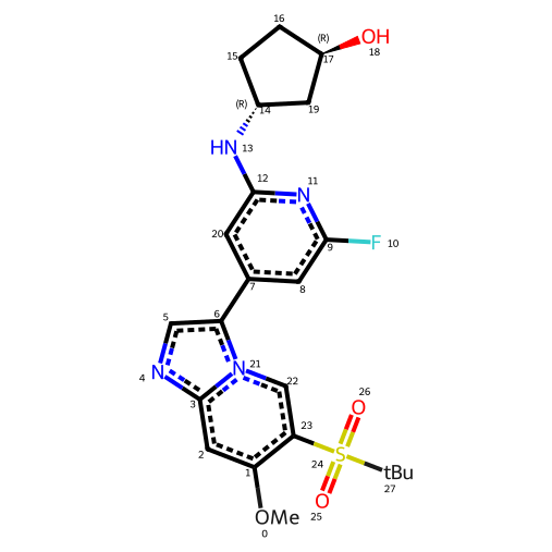 COc1cc2ncc(-c3cc(F)nc(N[C@@H]4CC[C@@H](O)C4)c3)n2cc1S(=O)(=O)C(C)(C)C